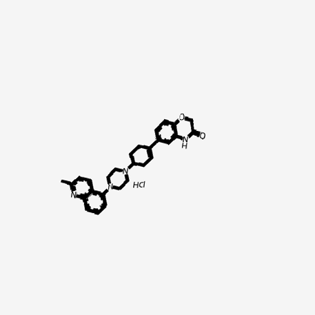 Cc1ccc2c(N3CCN(C4CC=C(c5ccc6c(c5)NC(=O)CO6)CC4)CC3)cccc2n1.Cl